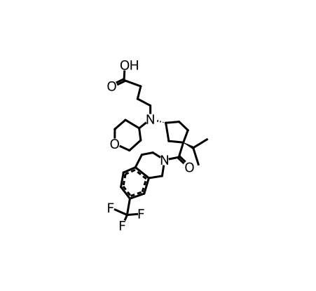 CC(C)[C@]1(C(=O)N2CCc3ccc(C(F)(F)F)cc3C2)CC[C@@H](N(CCCC(=O)O)C2CCOCC2)C1